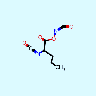 CCCC(N=C=O)C(=O)ON=C=O